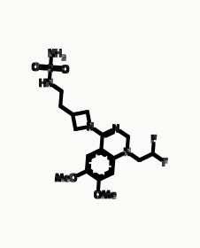 COc1cc2c(cc1OC)N(CC(F)F)CN=C2N1CC(CCNS(N)(=O)=O)C1